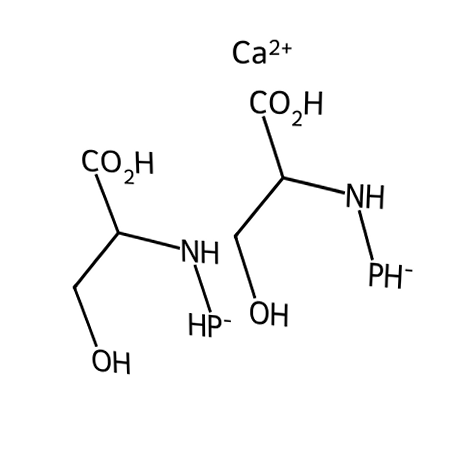 O=C(O)C(CO)N[PH-].O=C(O)C(CO)N[PH-].[Ca+2]